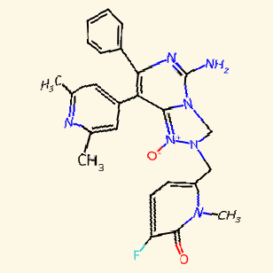 Cc1cc(C2=C(c3ccccc3)N=C(N)N3CN(Cc4ccc(F)c(=O)n4C)[N+]([O-])=C23)cc(C)n1